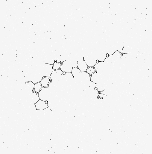 C=Cc1nn(C2CCCCO2)c2cnc(-c3c(C)nn(C)c3O[C@H](C)CN(C)Cc3c(I)c(OCOCC[Si](C)(C)C)nn3CCO[Si](C)(C)C(C)(C)C)cc12